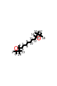 CC1(C)OC(C)(CCCCCCCC2(C)OC(C)(C)C2(C)C)C1(C)C